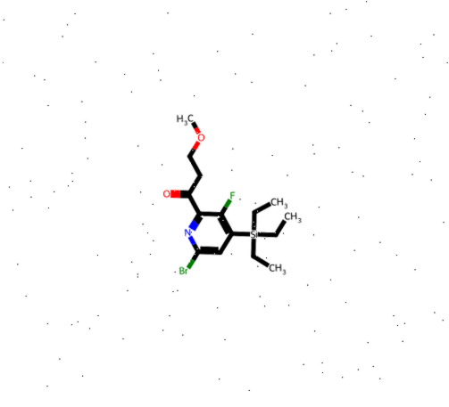 CC[Si](CC)(CC)c1cc(Br)nc(C(=O)CCOC)c1F